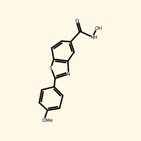 COc1ccc(-c2nc3cc(C(=O)NO)ccc3s2)cc1